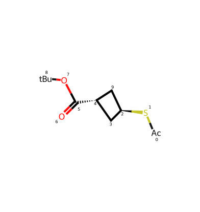 CC(=O)S[C@H]1C[C@H](C(=O)OC(C)(C)C)C1